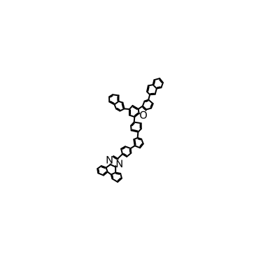 c1cc(-c2ccc(-c3cnc4c5ccccc5c5ccccc5c4n3)cc2)cc(-c2ccc(-c3cc(-c4ccc5ccccc5c4)cc4c3oc3ccc(-c5ccc6ccccc6c5)cc34)cc2)c1